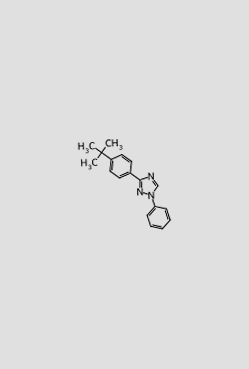 CC(C)(C)c1ccc(-c2ncn(-c3ccccc3)n2)cc1